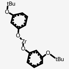 CC(C)(C)Oc1cccc([O][Zr][O]c2cccc(OC(C)(C)C)c2)c1